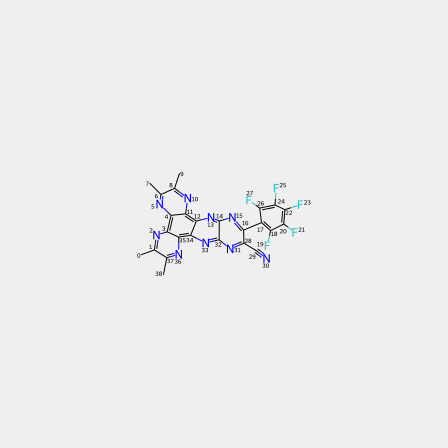 Cc1nc2c3nc(C)c(C)nc3c3nc4nc(-c5c(F)c(F)c(F)c(F)c5F)c(C#N)nc4nc3c2nc1C